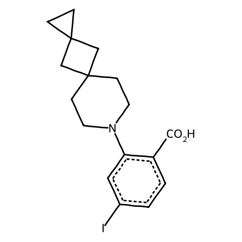 O=C(O)c1ccc(I)cc1N1CCC2(CC1)CC1(CC1)C2